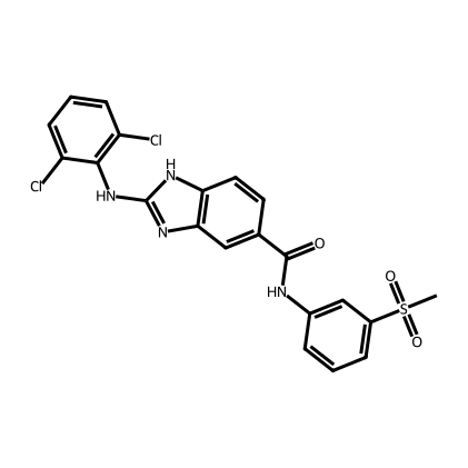 CS(=O)(=O)c1cccc(NC(=O)c2ccc3[nH]c(Nc4c(Cl)cccc4Cl)nc3c2)c1